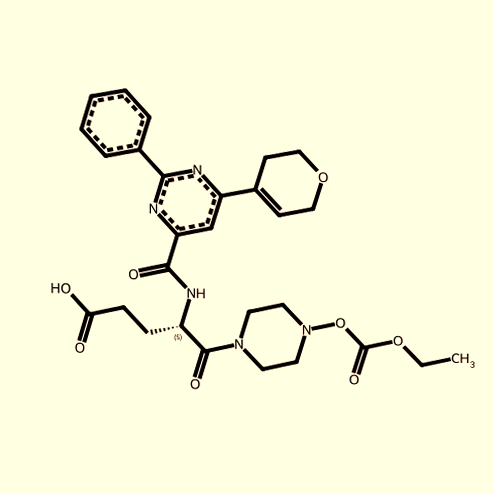 CCOC(=O)ON1CCN(C(=O)[C@H](CCC(=O)O)NC(=O)c2cc(C3=CCOCC3)nc(-c3ccccc3)n2)CC1